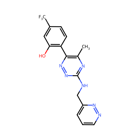 Cc1nc(NCc2cccnn2)nnc1-c1ccc(C(F)(F)F)cc1O